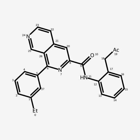 CCc1cccc(-c2nc(C(=O)Nc3ccccc3CC(C)=O)cc3ccncc23)c1